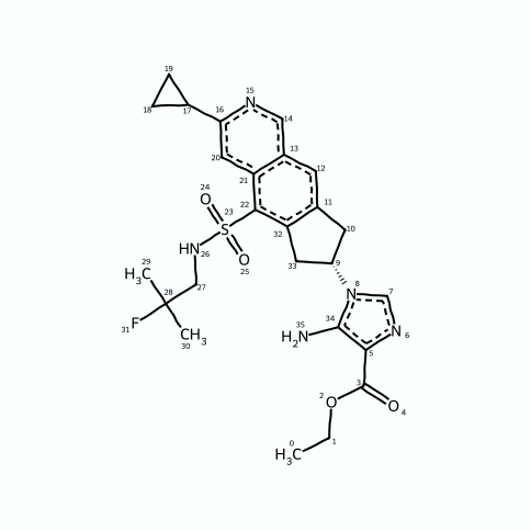 CCOC(=O)c1ncn([C@H]2Cc3cc4cnc(C5CC5)cc4c(S(=O)(=O)NCC(C)(C)F)c3C2)c1N